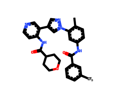 Cc1ccc(NC(=O)c2cccc(C(F)(F)F)c2)cc1-n1cc(-c2cnccc2NC(=O)C2CCOCC2)cn1